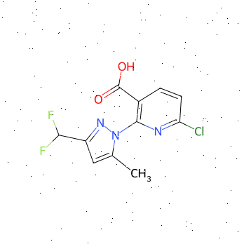 Cc1cc(C(F)F)nn1-c1nc(Cl)ccc1C(=O)O